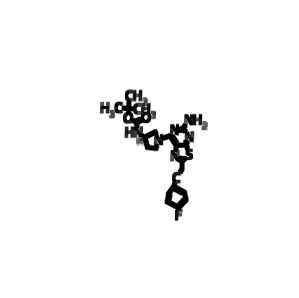 CC(C)(C)OC(=O)N[C@@H]1CCN(c2nc(N)nc3sc(CCc4ccc(F)cc4)nc23)C1